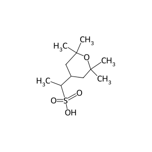 CC(C1CC(C)(C)OC(C)(C)C1)S(=O)(=O)O